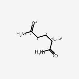 C[C@@H](CCC(N)=O)C(N)=O